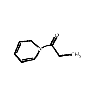 CCC(=O)N1C=CC=CC1